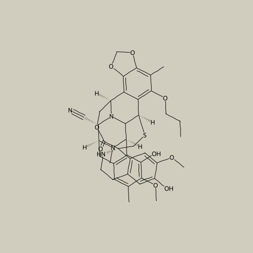 CCCOc1c(C)c2c(c3c1[C@H]1SC[C@]4(NCCc5cc(O)c(OC)cc54)C(=O)OC[C@@H]3N3C1[C@H]1c4c(cc(C)c(OC)c4O)C[C@@H]([C@@H]3C#N)N1C)OCO2